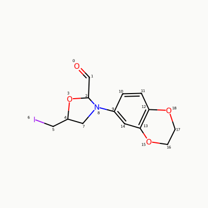 O=CC1OC(CI)CN1c1ccc2c(c1)OCCO2